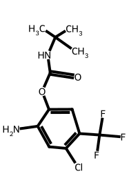 CC(C)(C)NC(=O)Oc1cc(C(F)(F)F)c(Cl)cc1N